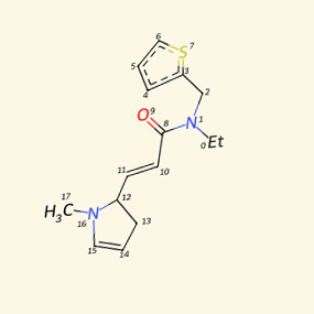 CCN(Cc1cccs1)C(=O)/C=C/C1CC=CN1C